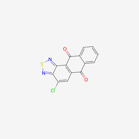 O=C1c2ccccc2C(=O)c2c1cc(Cl)c1nsnc21